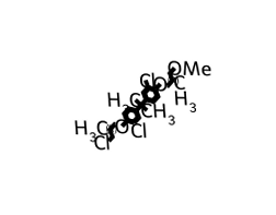 COC[C@@H](C)COc1ccc(C(C)(C)c2ccc(OC[C@@H](C)CCl)c(Cl)c2)cc1Cl